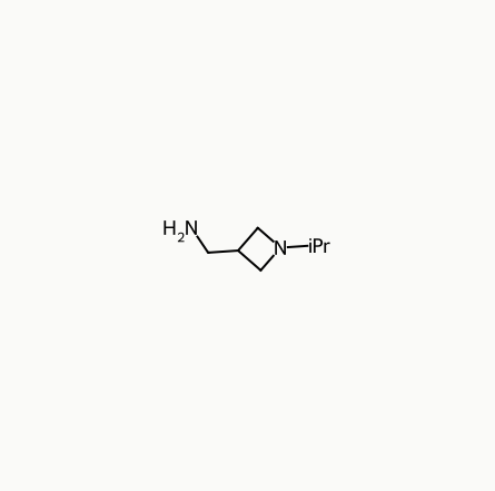 CC(C)N1CC(CN)C1